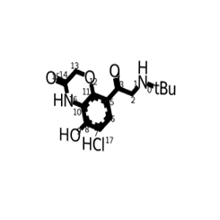 CC(C)(C)NCC(=O)c1ccc(O)c2c1OCC(=O)N2.Cl